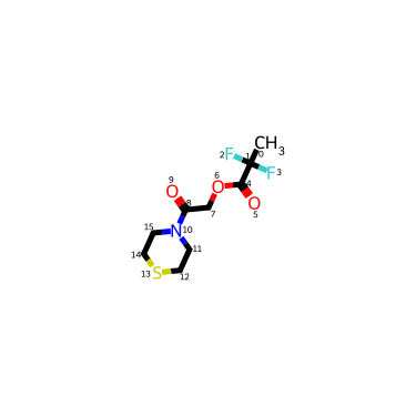 CC(F)(F)C(=O)OCC(=O)N1CCSCC1